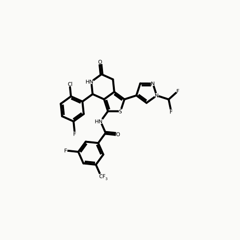 O=C1Cc2c(-c3cnn(C(F)F)c3)sc(NC(=O)c3cc(F)cc(C(F)(F)F)c3)c2C(c2cc(F)ccc2Cl)N1